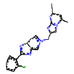 Cc1cc(C)n2cc(Cn3ccc4nc(-c5ccccc5F)nc-4c3)nc2n1